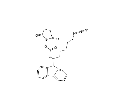 [N-]=[N+]=NCCCCCC(OC(=O)ON1C(=O)CCC1=O)C1c2ccccc2-c2ccccc21